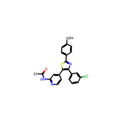 CCC(=O)Nc1cc(-c2sc(-c3ccc(SC)cc3)nc2-c2cccc(Cl)c2)ccn1